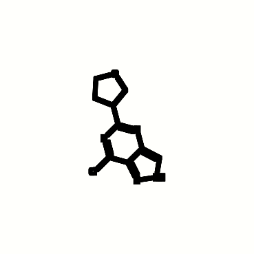 Clc1nc(C2CCOC2)nc2c[nH]nc12